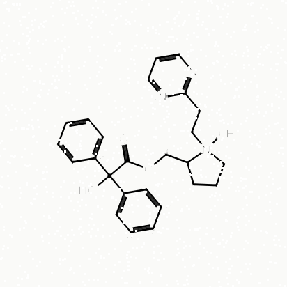 C[N+]1(CCc2ncccn2)CCCC1COC(=O)C(O)(c1ccccc1)c1ccccc1